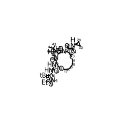 CCS(=O)(=O)N(C)C[C@@H](NC(=O)N[C@H]1COCCCCCCC[C@@H](C(=O)C(=O)NC2CC2)NC(=O)C2[C@@H]3[C@H](CN2C1=O)C3(C)C)C(C)(C)C